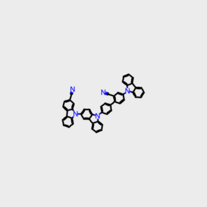 N#Cc1ccc2c3ccccc3n(-c3ccc4c(c3)c3ccccc3n4-c3ccc(-c4ccc(-n5c6ccccc6c6ccccc65)cc4C#N)cc3)c2c1